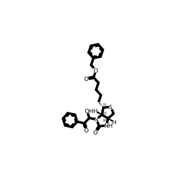 O=C(CCCC[C@@H]1SC[C@@H]2NC(=O)N(C(O)C(=O)c3ccccc3)[C@@H]21)OCc1ccccc1